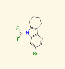 FC(F)n1c2c(c3ccc(Br)cc31)CCCC2